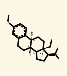 CC[C@]12CC[C@@H]3c4ccc(OC)cc4CC[C@H]3[C@@H]1CCC2=C(F)F